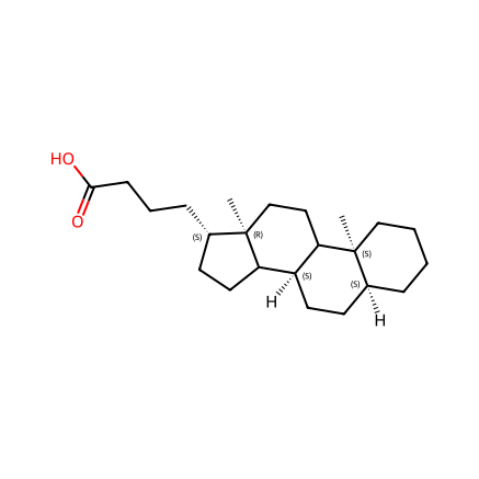 C[C@]12CCC3[C@@H](CC[C@@H]4CCCC[C@]34C)C1CC[C@@H]2CCCC(=O)O